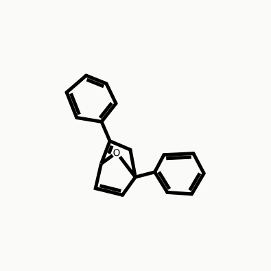 C1=CC2(c3ccccc3)CC(c3ccccc3)=C1O2